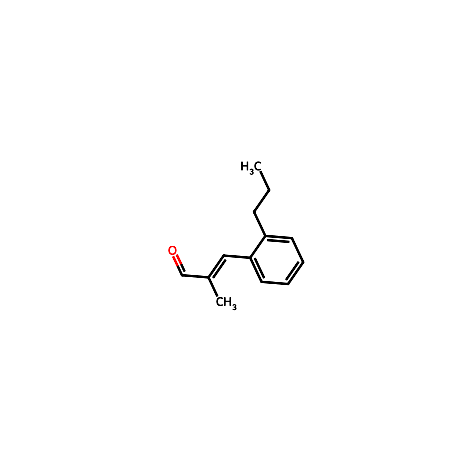 CCCc1ccccc1/C=C(\C)C=O